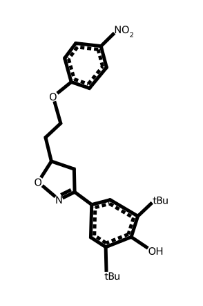 CC(C)(C)c1cc(C2=NOC(CCOc3ccc([N+](=O)[O-])cc3)C2)cc(C(C)(C)C)c1O